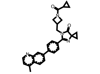 Cc1ccnc2cc(-c3ccc(C4=NC5(CC5)C(=O)N4CC4CN(C(=O)C5CC5)C4)cc3)ccc12